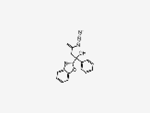 C=C(CC(O)(c1ccccc1)c1nc2ccccc2o1)N=[N+]=[N-]